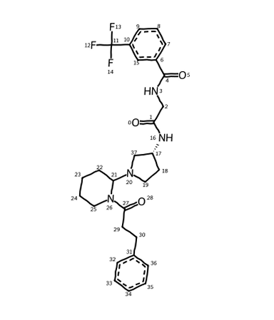 O=C(CNC(=O)c1cccc(C(F)(F)F)c1)N[C@@H]1CCN(C2CCCCN2C(=O)CCc2ccccc2)C1